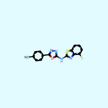 N#Cc1ccc(-c2nnc(Nc3nc4c(F)cccc4s3)o2)cc1